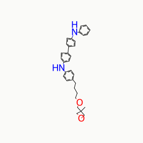 CC1(COCCCCc2ccc(Nc3ccc(-c4ccc(Nc5ccccc5)cc4)cc3)cc2)COC1